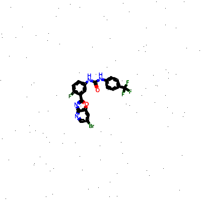 O=C(Nc1ccc(C(F)(F)F)cc1)Nc1ccc(F)c(-c2nc3ncc(Br)cc3o2)c1